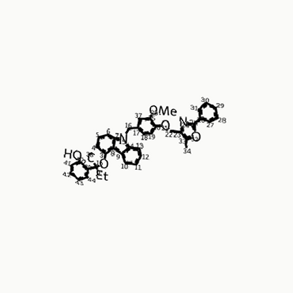 CCC(Oc1cccc2c1c1ccccc1n2Cc1ccc(OCc2nc(-c3ccccc3)oc2C)c(OC)c1)(C(=O)O)c1ccccc1